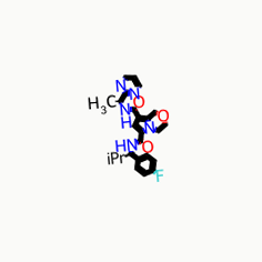 CC(C)[C@@H](NC(=O)c1cc(C(=O)N[C@H](C)c2ncccn2)c2n1CCOC2)c1ccc(F)cc1